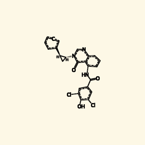 O=C(Nc1cccc2ncn([C@@H]3C[C@H]3c3ccccc3)c(=O)c12)c1cc(Cl)c(O)c(Cl)c1